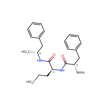 CC(=O)N[C@@H](Cc1ccccc1)C(=O)N[C@@H](CCC(=O)O)C(=O)N[C@@H](Cc1ccccc1)C(=O)O